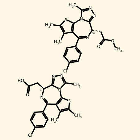 COC(=O)C[C@@H]1N=C(c2ccc(Cl)cc2)c2c(sc(C)c2C)-n2c(C)nnc21.Cc1sc2c(c1C)C(c1ccc(Cl)cc1)=N[C@@H](CC(=O)O)c1nnc(C)n1-2